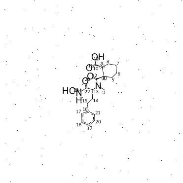 CN(C(=O)[C@@H]1CCCC[C@@H]1C(=O)O)C(CCc1ccccc1)C(=O)NO